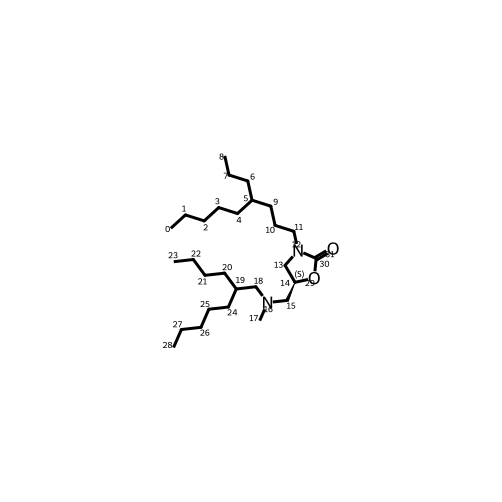 CCCCCC(CCC)CCCN1C[C@H](CN(C)CC(CCCC)CCCCC)OC1=O